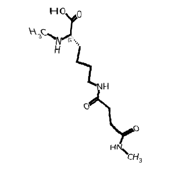 CNC(=O)CCC(=O)NCCCC[C@H](NC)C(=O)O